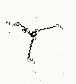 CCCCCCCCCCCCOc1cc(COC(=O)CCCN2CCN(C)CC2)cc(OCCCCCCCCCCCC)c1